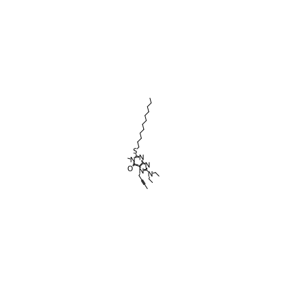 CC#CCn1c(N(CC)CC)nc2nc(SCCCCCCCCCCCC)n(C)c(=O)c21